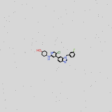 O[C@H]1CC[C@H](Nc2cc(-c3ccc4ncn(Cc5cccc(F)c5)c4c3)c(Cl)cn2)CC1